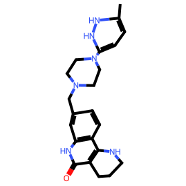 CC1=CC=C(N2CCN(Cc3ccc4c5c(c(=O)[nH]c4c3)CCCN5)CC2)NN1